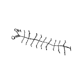 O=C(O)C(I)(I)C(I)(I)C(I)(I)C(I)(I)C(I)(I)C(I)(I)C(I)(I)C(I)(I)C(I)(I)I